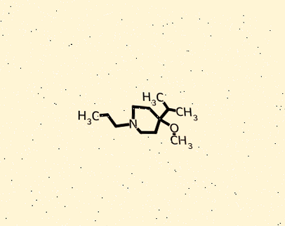 CCCN1CCC(OC)(C(C)C)CC1